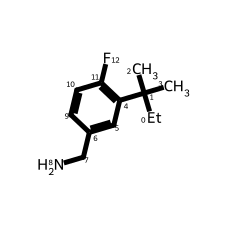 CCC(C)(C)c1cc(CN)ccc1F